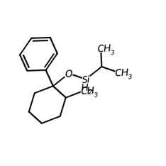 CC(C)[SiH2]OC1(c2ccccc2)CCCCC1C